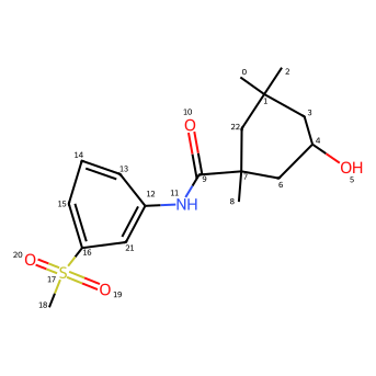 CC1(C)CC(O)CC(C)(C(=O)Nc2cccc(S(C)(=O)=O)c2)C1